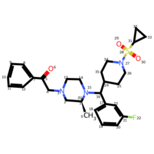 C[C@H]1CN(CC(=O)c2ccccc2)CCN1C(c1cccc(F)c1)C1CCN(S(=O)(=O)C2CC2)CC1